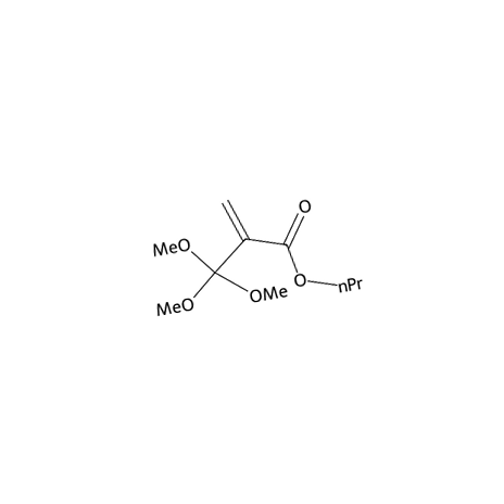 [CH2]CCOC(=O)C(=C)C(OC)(OC)OC